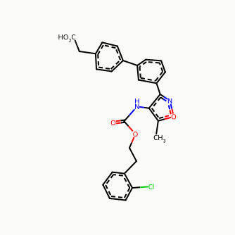 Cc1onc(-c2cccc(-c3ccc(CC(=O)O)cc3)c2)c1NC(=O)OCCc1ccccc1Cl